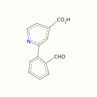 O=Cc1ccccc1-c1cc(C(=O)O)ccn1